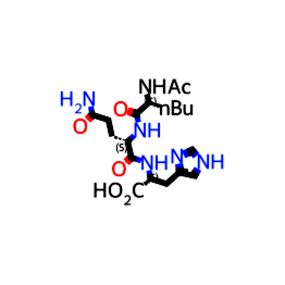 CCCC[C@H](NC(C)=O)C(=O)N[C@@H](CCC(N)=O)C(=O)N[C@@H](Cc1c[nH]cn1)C(=O)O